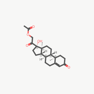 CC(=O)OCC(=O)[C@]1(O)CC[C@H]2[C@@H]3CCC4=CC(=O)CC[C@]4(C)[C@H]3CC[C@@]21C